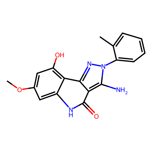 COc1cc(O)c2c(c1)[nH]c(=O)c1c(N)n(-c3ccccc3C)nc12